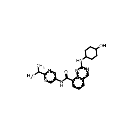 CC(C)c1ncc(NC(=O)c2cccc3cnc(NC4CCC(O)CC4)nc23)cn1